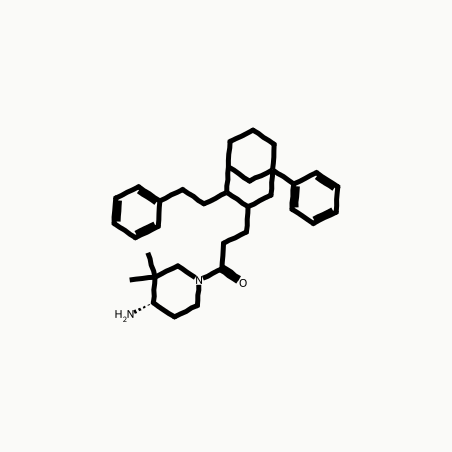 CC1(C)CN(C(=O)CCC2CC3(c4ccccc4)CCCC(C3)C2CCc2ccccc2)CC[C@@H]1N